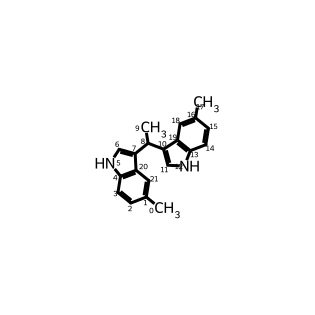 Cc1ccc2[nH]cc(C(C)c3c[nH]c4ccc(C)cc34)c2c1